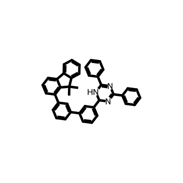 CC1(C)c2ccccc2-c2cccc(-c3cccc(-c4cccc(C5N=C(c6ccccc6)N=C(c6ccccc6)N5)c4)c3)c21